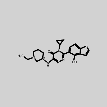 CCN1CCC[C@@H](Nc2nnc(-c3ccc4sccc4c3O)n(C3CC3)c2=O)C1